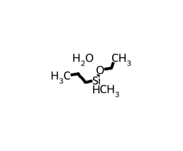 CCC[SiH](C)OCC.O